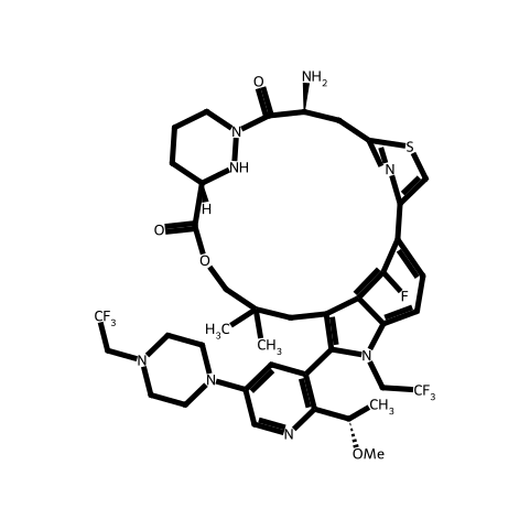 CO[C@@H](C)c1ncc(N2CCN(CC(F)(F)F)CC2)cc1-c1c2c3c(F)c(ccc3n1CC(F)(F)F)-c1csc(n1)C[C@H](N)C(=O)N1CCC[C@H](N1)C(=O)OCC(C)(C)C2